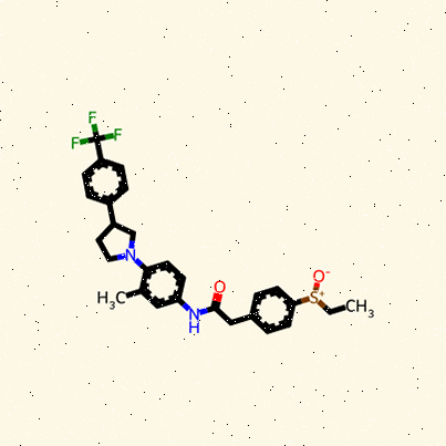 CC[S+]([O-])c1ccc(CC(=O)Nc2ccc(N3CCC(c4ccc(C(F)(F)F)cc4)C3)c(C)c2)cc1